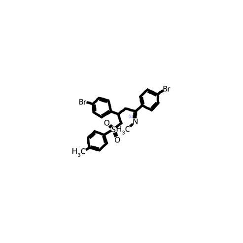 C/N=C(\CC(CS(=O)(=O)c1ccc(C)cc1)c1ccc(Br)cc1)c1ccc(Br)cc1